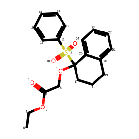 CCOC(=O)COC1(S(=O)(=O)c2ccccc2)CCCc2ccccc21